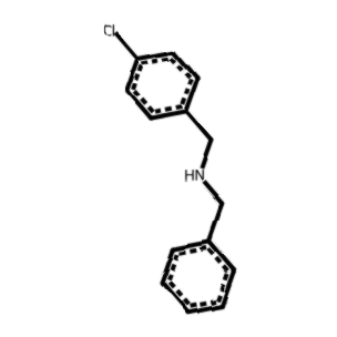 Clc1ccc(CNCc2ccccc2)cc1